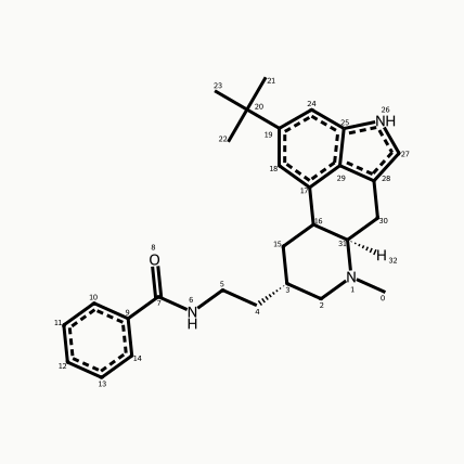 CN1C[C@H](CCNC(=O)c2ccccc2)CC2c3cc(C(C)(C)C)cc4[nH]cc(c34)C[C@H]21